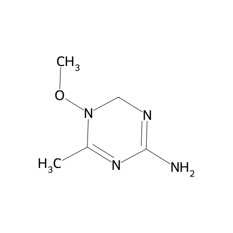 CON1CN=C(N)N=C1C